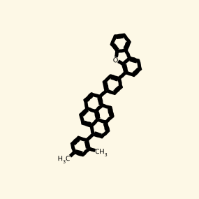 Cc1ccc(-c2ccc3ccc4c(-c5ccc(-c6cccc7c6oc6ccccc67)cc5)ccc5ccc2c3c54)c(C)c1